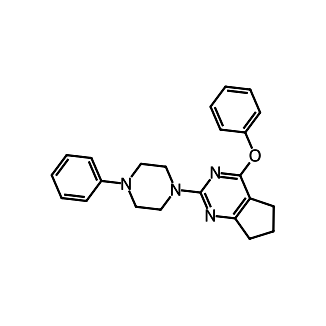 c1ccc(Oc2nc(N3CCN(c4ccccc4)CC3)nc3c2CCC3)cc1